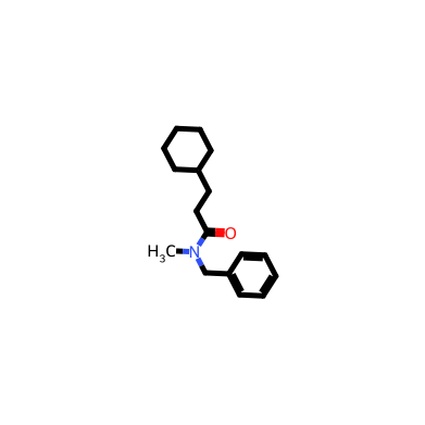 CN(Cc1ccccc1)C(=O)CCC1CCCCC1